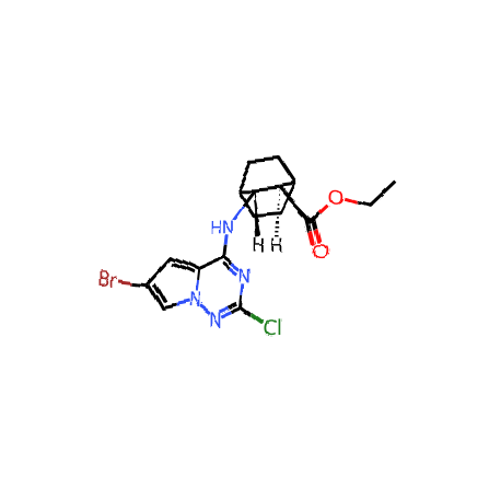 CCOC(=O)[C@@H]1C2CCC(CC2)[C@H]1Nc1nc(Cl)nn2cc(Br)cc12